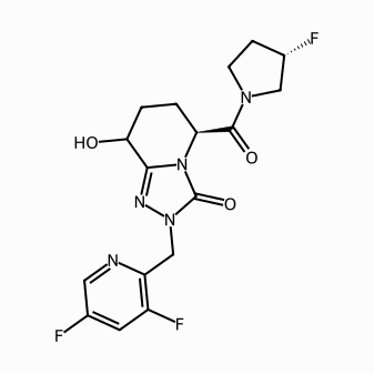 O=C([C@@H]1CCC(O)c2nn(Cc3ncc(F)cc3F)c(=O)n21)N1CC[C@H](F)C1